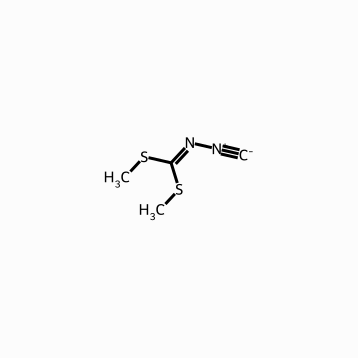 [C-]#[N+]N=C(SC)SC